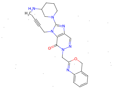 CC#CCn1c(N2CCCC(N)C2)nc2cnn(CC3=Nc4ccccc4CO3)c(=O)c21